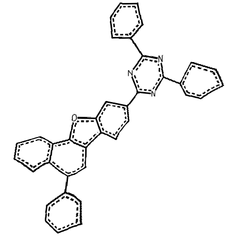 c1ccc(-c2nc(-c3ccccc3)nc(-c3ccc4c(c3)oc3c5ccccc5c(-c5ccccc5)cc43)n2)cc1